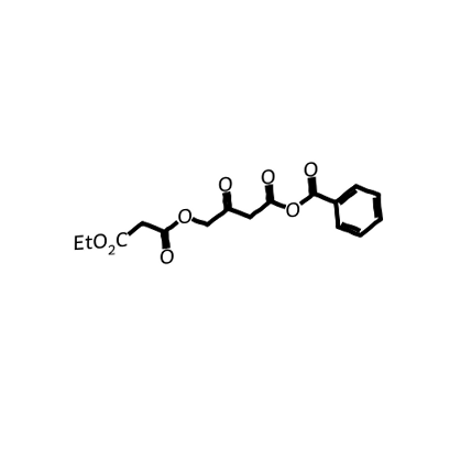 CCOC(=O)CC(=O)OCC(=O)CC(=O)OC(=O)c1ccccc1